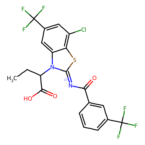 CCC(C(=O)O)n1/c(=N/C(=O)c2cccc(C(F)(F)F)c2)sc2c(Cl)cc(C(F)(F)F)cc21